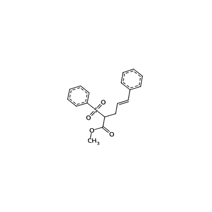 COC(=O)C(C/C=C/c1ccccc1)S(=O)(=O)c1ccccc1